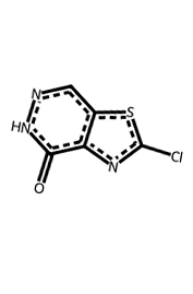 O=c1[nH]ncc2sc(Cl)nc12